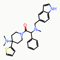 CN(Cc1ccc2[nH]ccc2c1)C(C(=O)N1CCC(c2cccs2)(N(C)C)CC1)c1ccccc1